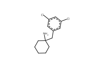 NC1(Cc2cc(Cl)cc(Cl)c2)CCCCC1